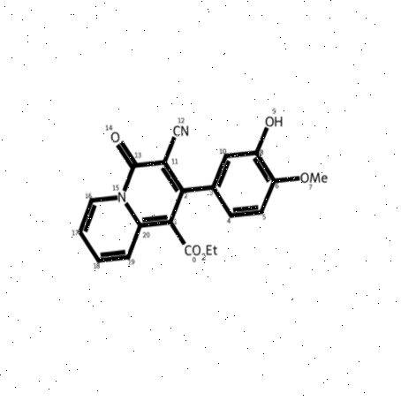 CCOC(=O)c1c(-c2ccc(OC)c(O)c2)c(C#N)c(=O)n2ccccc12